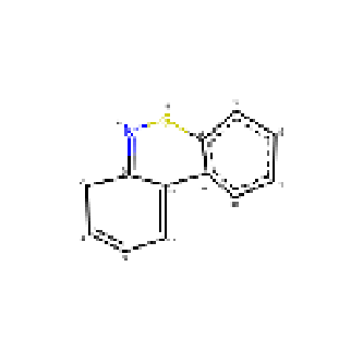 C1=CCC2=NSc3ccccc3C2=C1